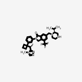 CC(C)[C@H]1CNCCN1Cc1cc2c(c(C(F)(F)F)c1)CN(c1cccc(C3([C@@H](F)c4nncn4C)CCC3)c1)C2=O